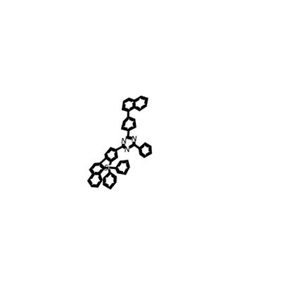 c1ccc(-c2nc(-c3ccc(-c4cccc5ccccc45)cc3)nc(-c3ccc4c(c3)[Si](c3ccccc3)(c3ccccc3)c3c-4ccc4ccccc34)n2)cc1